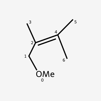 [CH2]OCC(C)=C(C)C